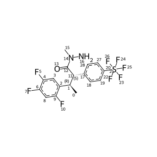 C[C@@H](c1cc(F)c(F)cc1F)[C@H](C(=O)N(C)N)c1ccc(S(F)(F)(F)(F)F)cc1